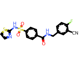 N#Cc1cc(CNC(=O)c2ccc(S(=O)(=O)Nc3nccs3)cc2)ccc1F